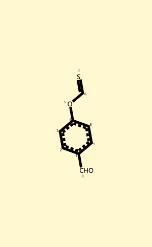 O=Cc1ccc(OC=S)cc1